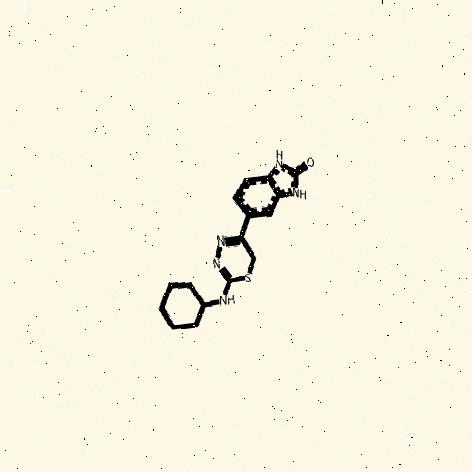 O=c1[nH]c2ccc(C3=NN=C(NC4CCCCC4)SC3)cc2[nH]1